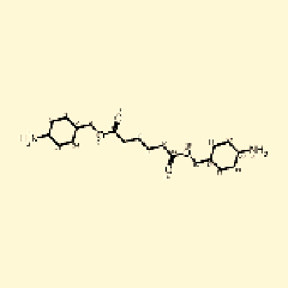 NC1CCC(COC(=O)CCCCC(=O)OCC2CCC(N)CC2)CC1